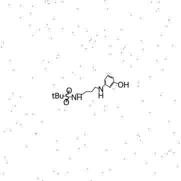 CC(C)(C)S(=O)(=O)NCCCCCNc1cccc(O)c1